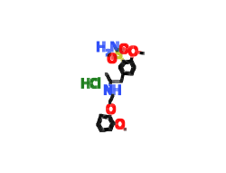 COc1ccccc1OCCNC(C)Cc1ccc(OC)c(S(N)(=O)=O)c1.Cl